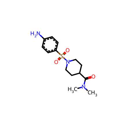 CN(C)C(=O)C1CCN(S(=O)(=O)c2ccc(N)cc2)CC1